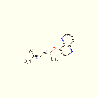 C/C(=C\C=C(/C)[N+](=O)[O-])Oc1ccnc2cccnc12